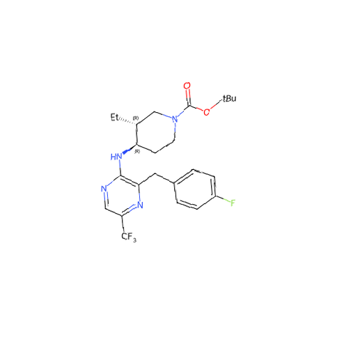 CC[C@@H]1CN(C(=O)OC(C)(C)C)CC[C@H]1Nc1ncc(C(F)(F)F)nc1Cc1ccc(F)cc1